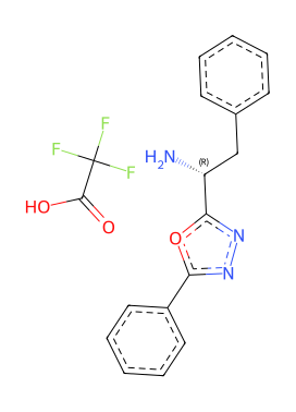 N[C@H](Cc1ccccc1)c1nnc(-c2ccccc2)o1.O=C(O)C(F)(F)F